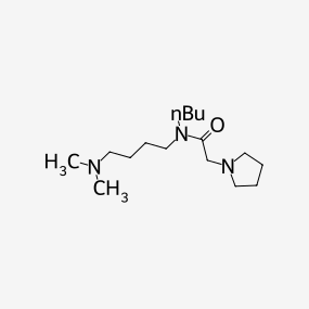 CCCCN(CCCCN(C)C)C(=O)CN1CCCC1